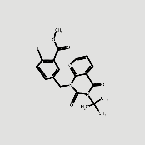 COC(=O)c1cc(Cn2c(=O)n(C(C)(C)C)c(=O)c3cccnc32)ccc1I